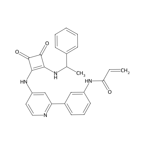 C=CC(=O)Nc1cccc(-c2cc(Nc3c(NC(C)c4ccccc4)c(=O)c3=O)ccn2)c1